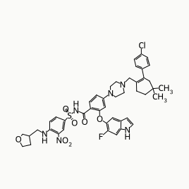 CC1(C)CCC(CN2CCN(c3ccc(C(=O)NS(=O)(=O)c4ccc(NCC5CCOC5)c([N+](=O)[O-])c4)c(Oc4cc5cc[nH]c5cc4F)c3)CC2)=C(c2ccc(Cl)cc2)C1